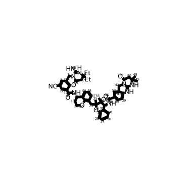 CCC1(CC)CC(=O)N(Cc2cc(C#N)cc(C(=O)N[C@H]3CCOc4c(CC5(C)Oc6ccccc6C(NC(=O)c6cccc(CN7C(=N)NC(C)(C)CC7=O)c6)C5(C)O)cccc43)c2)C(=N)N1